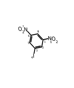 O=[N+]([O-])c1cc(I)cc([N+](=O)[O-])c1